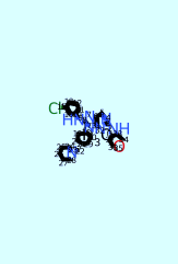 CC1(Nc2ncc3nc(Nc4cccc(Cl)c4)n([C@H]4CC[C@@H](CN5CCCCC5)CC4)c3n2)CCOCC1